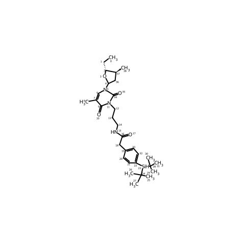 CC[C@H]1OC(n2cc(C)c(=O)n(CCCNC(=O)Cc3ccc([SiH](C(C)(C)C)C(C)(C)C)cc3)c2=O)C[C@@H]1C